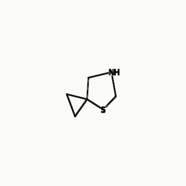 C1NCC2(CC2)S1